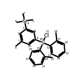 Cc1cc([Si](C)(C)C)cc([Si](Cl)(c2ccccc2C)c2ccccc2C)c1